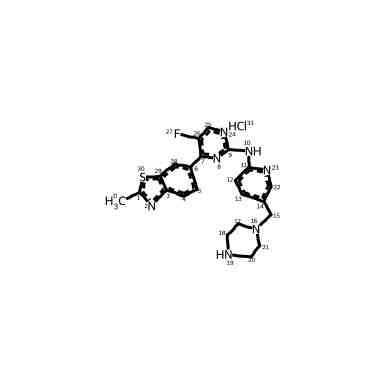 Cc1nc2ccc(-c3nc(Nc4ccc(CN5CCNCC5)cn4)ncc3F)cc2s1.Cl